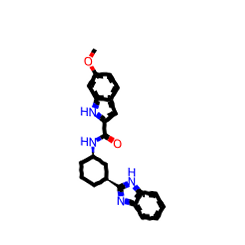 COc1ccc2cc(C(=O)N[C@@H]3CCC[C@H](c4nc5ccccc5[nH]4)C3)[nH]c2c1